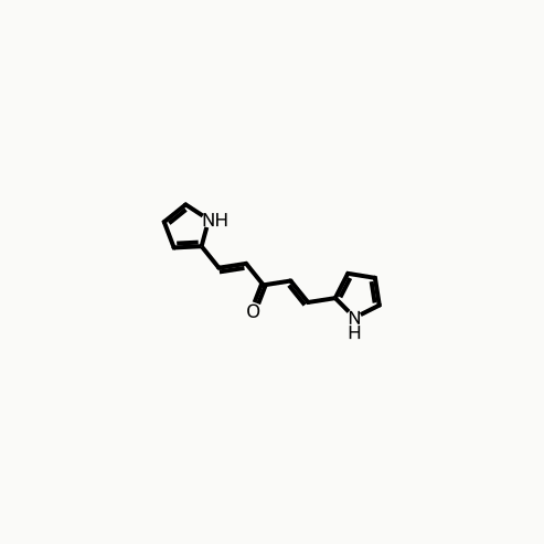 O=C(C=Cc1ccc[nH]1)C=Cc1ccc[nH]1